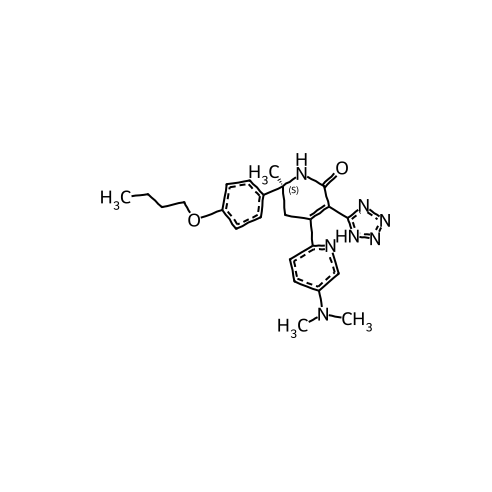 CCCCOc1ccc([C@]2(C)CC(c3ccc(N(C)C)cn3)=C(c3nnn[nH]3)C(=O)N2)cc1